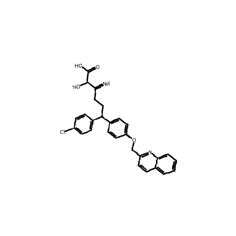 N=C(CCC(c1ccc(Cl)cc1)c1ccc(OCc2ccc3ccccc3n2)cc1)C(O)C(=O)O